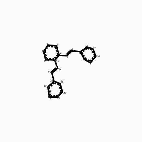 [c]1cccc(C=Cc2ccccc2)c1C=Cc1ccccc1